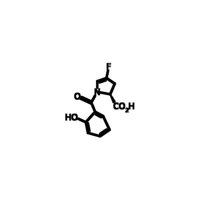 O=C(O)[C@@H]1CC(F)=CN1C(=O)c1ccccc1O